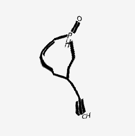 C#CC1CC=C[PH](=O)C1